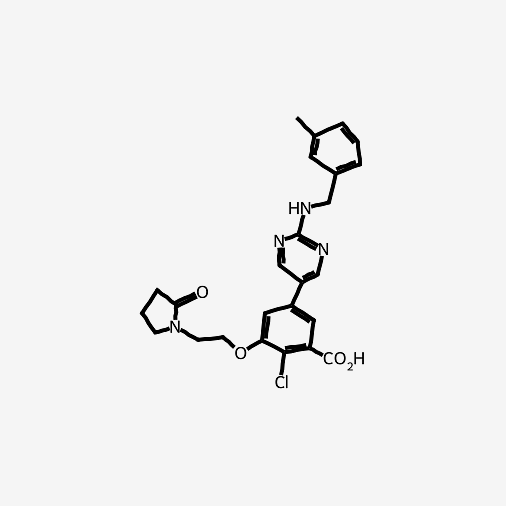 Cc1cccc(CNc2ncc(-c3cc(OCCN4CCCC4=O)c(Cl)c(C(=O)O)c3)cn2)c1